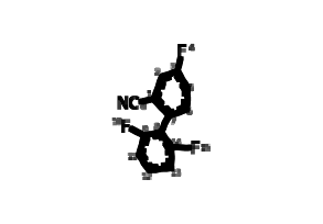 N#Cc1cc(F)ccc1-c1c(F)cccc1F